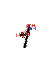 CCCCCCCCCCCCOC(=O)CC[C@H](N)C(=O)O.O=S(=O)(O)O.[KH]